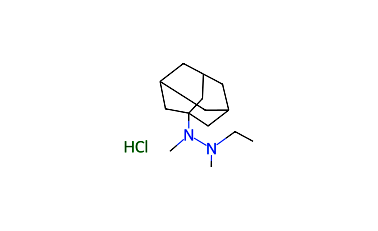 CCN(C)N(C)C12CC3CC(CC(C3)C1)C2.Cl